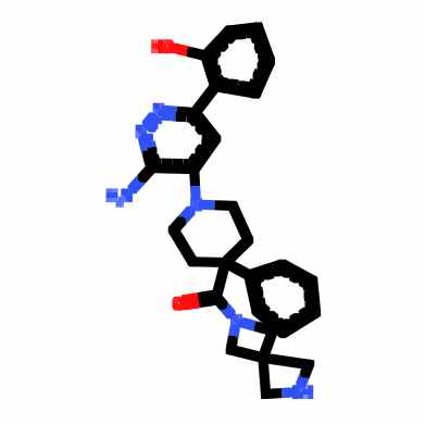 Nc1nnc(-c2ccccc2O)cc1N1CCC(C(=O)N2CC3(CNC3)C2)(c2ccccc2)CC1